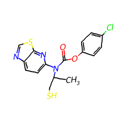 CC(CS)N(C(=O)Oc1ccc(Cl)cc1)c1ccc2ncsc2n1